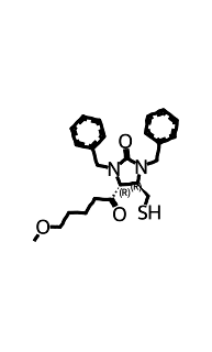 COCCCCC(=O)[C@H]1[C@H](CS)N(Cc2ccccc2)C(=O)N1Cc1ccccc1